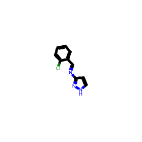 Clc1ccccc1C=Nc1cc[nH]n1